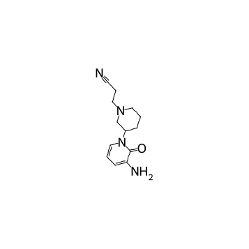 N#CCCN1CCCC(n2cccc(N)c2=O)C1